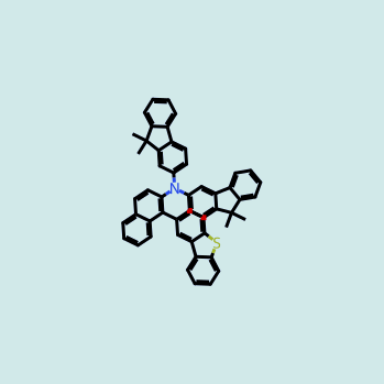 CC1(C)c2ccccc2-c2cc(N(c3ccc4c(c3)C(C)(C)c3ccccc3-4)c3ccc4ccccc4c3-c3ccc4sc5ccccc5c4c3)ccc21